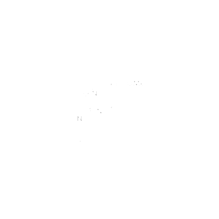 COCC(O)(Cn1cnc(C)c1C)[N+](=O)[O-]